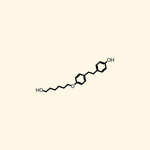 OCCCCCCOc1ccc(CCc2ccc(O)cc2)cc1